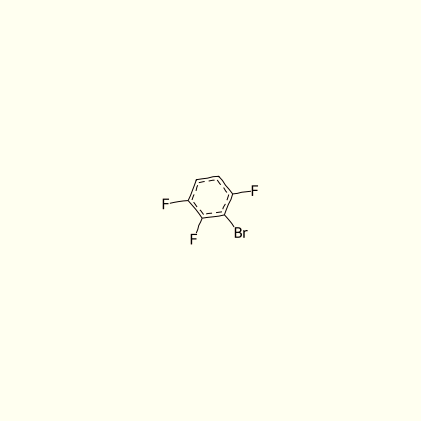 Fc1ccc(F)c(Br)c1F